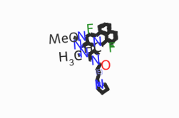 C#Cc1c(F)ccc2cccc(-c3ncc4c(N(C)C5CCN(C(=O)/C=C/CN6CCCC6)C5)nc(OC)nc4c3F)c12